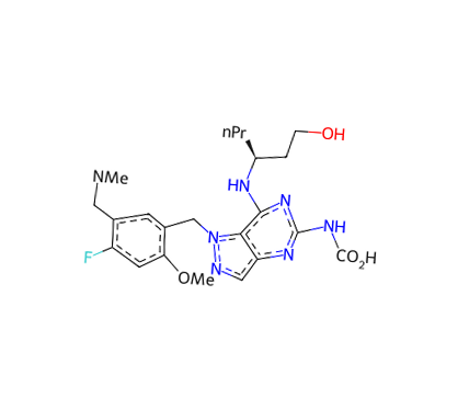 CCC[C@@H](CCO)Nc1nc(NC(=O)O)nc2cnn(Cc3cc(CNC)c(F)cc3OC)c12